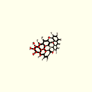 Fc1c(F)c(F)c2c(F)c3c(B(c4c(F)c(F)c(F)c5c(F)c6c(F)c(F)c(F)c(F)c6c(F)c45)c4c(F)c(F)c(F)c5c(F)c6c(F)c(F)c(F)c(F)c6c(F)c45)c(F)c(F)c(F)c3c(F)c2c1F